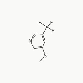 CSc1cn[c]c(C(F)(F)F)c1